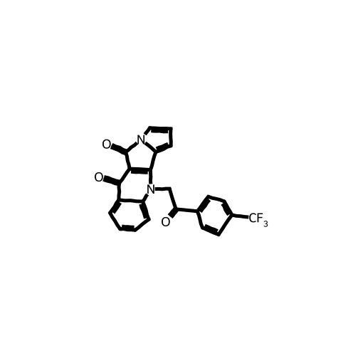 O=C(Cn1c2c(c(=O)c3ccccc31)C(=O)n1cccc1-2)c1ccc(C(F)(F)F)cc1